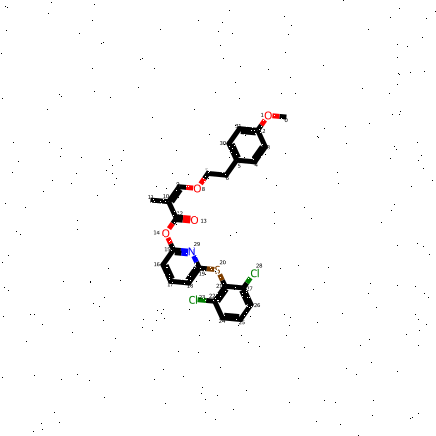 COc1ccc(CCOC=C(C)C(=O)Oc2cccc(Sc3c(Cl)cccc3Cl)n2)cc1